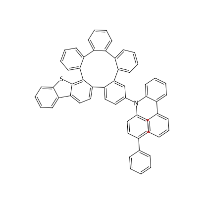 c1ccc(-c2ccc(N(c3ccc4c(c3)c3ccccc3c3ccccc3c3ccccc3c3c4ccc4c5ccccc5sc43)c3ccccc3-c3ccccc3)cc2)cc1